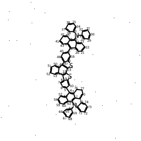 C1=Cc2c(c(-c3ccc4c(c3)sc3c5sc6cc(-c7c8ccccc8c(N(c8ccccc8)c8ccccc8)c8ccccc78)ccc6c5c5ccccc5c43)c3ccccc3c2N(c2ccccc2)c2ccccc2)CC1